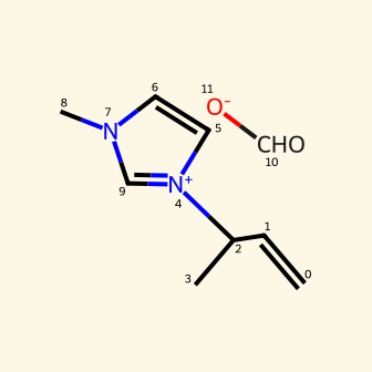 C=CC(C)[n+]1ccn(C)c1.O=C[O-]